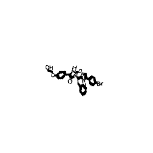 O=C1NC(c2ccc(OCCO)cc2)C(=O)N1[C@@H](Cc1ccccc1)c1ncc(-c2ccc(Br)cc2)[nH]1